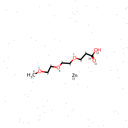 COCCOCCOCCC(=O)O.[Zn]